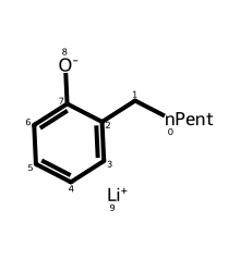 CCCCCCc1ccccc1[O-].[Li+]